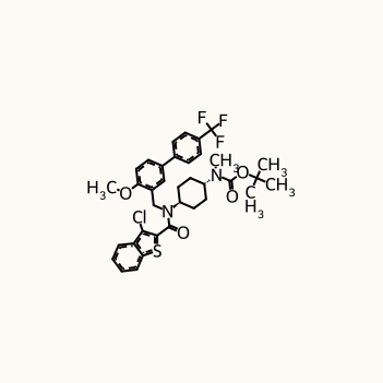 COc1ccc(-c2ccc(C(F)(F)F)cc2)cc1CN(C(=O)c1sc2ccccc2c1Cl)[C@H]1CC[C@H](N(C)C(=O)OC(C)(C)C)CC1